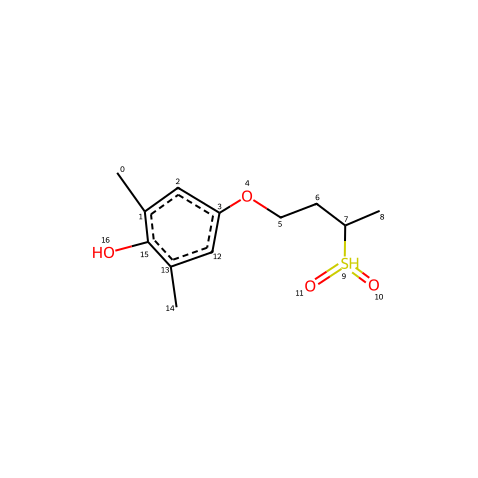 Cc1cc(OCCC(C)[SH](=O)=O)cc(C)c1O